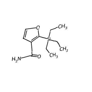 CC[Si](CC)(CC)c1occc1C(N)=O